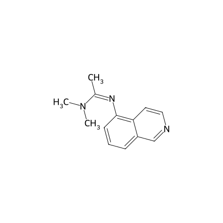 CC(=Nc1cccc2cnccc12)N(C)C